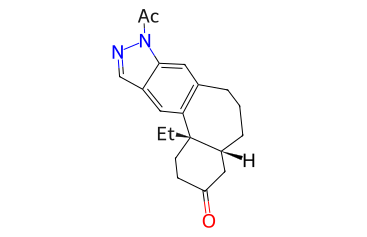 CC[C@]12CCC(=O)C[C@H]1CCCc1cc3c(cnn3C(C)=O)cc12